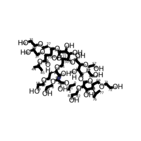 CC(C)O[C@H](O)/C(OCCO)=C(\O)[C@@H](CCOCCO)OCC1O[C@@H](O[C@@H](CCOCCO)C(O)C(OCCO)[C@@H](O)OC(C)C)C(O)C(O)[C@H]1O[C@H](O)C(OCCO)C(O)[C@H](CCO)O[C@@H]1OC(COCCO)[C@@H](C(C)C)C(O)C1OCCO